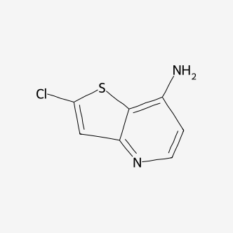 Nc1ccnc2cc(Cl)sc12